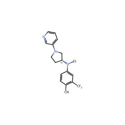 CCN(c1ccc(C#N)c(C(F)(F)F)c1)[C@H]1CCN(c2cccnc2)C1